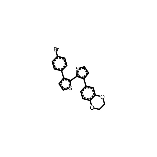 Brc1ccc(-c2ccsc2-c2sccc2-c2ccc3c(c2)OCCO3)cc1